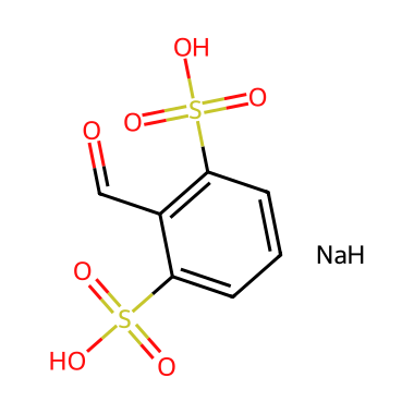 O=Cc1c(S(=O)(=O)O)cccc1S(=O)(=O)O.[NaH]